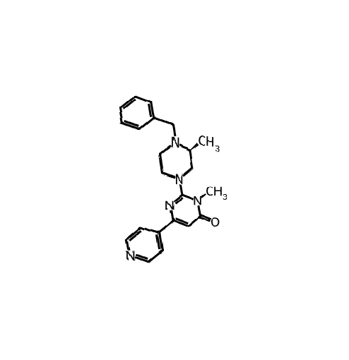 C[C@H]1CN(c2nc(-c3ccncc3)cc(=O)n2C)CCN1Cc1ccccc1